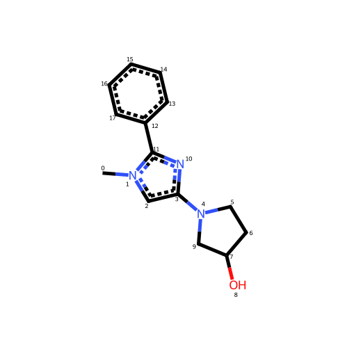 Cn1cc(N2CCC(O)C2)nc1-c1ccccc1